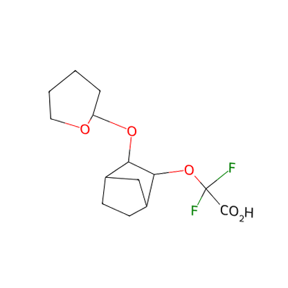 O=C(O)C(F)(F)OC1C2CCC(C2)C1OC1CCCCO1